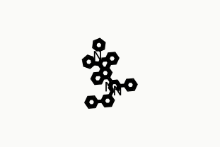 c1ccc(-c2cccc(-c3nc(-c4ccccc4)cc(-c4cc5c6ccccc6c6c(c7ccccc7n6-c6ccccc6)c5c5ccccc45)n3)c2)cc1